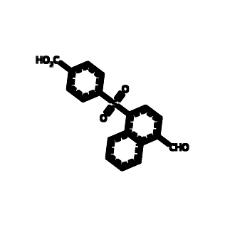 O=Cc1ccc(S(=O)(=O)c2ccc(C(=O)O)cc2)c2ccccc12